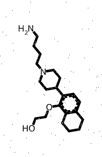 NCCCCN1CCC(c2ccc3c(c2OCCO)CCCC3)CC1